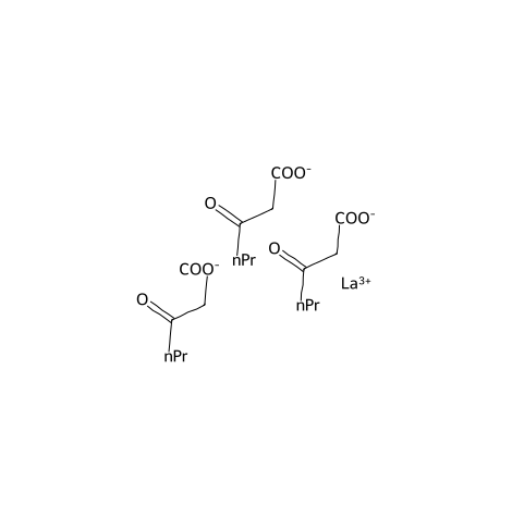 CCCC(=O)CC(=O)[O-].CCCC(=O)CC(=O)[O-].CCCC(=O)CC(=O)[O-].[La+3]